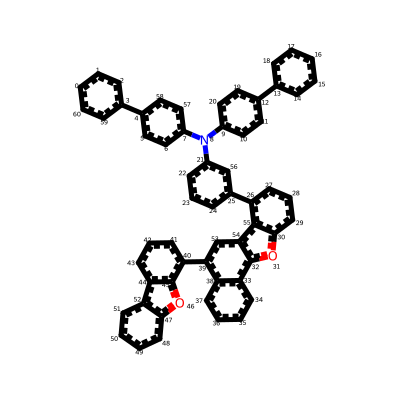 c1ccc(-c2ccc(N(c3ccc(-c4ccccc4)cc3)c3cccc(-c4cccc5oc6c7ccccc7c(-c7cccc8c7oc7ccccc78)cc6c45)c3)cc2)cc1